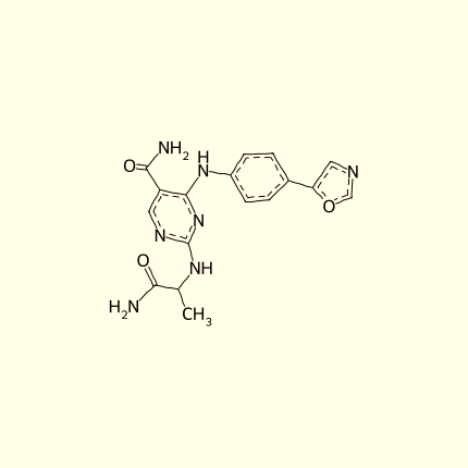 CC(Nc1ncc(C(N)=O)c(Nc2ccc(-c3cnco3)cc2)n1)C(N)=O